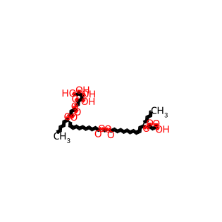 CCCCCC[C@@H](C/C=C\CCCCCCCC(=O)OCOC(=O)CCCCCCC/C=C\C[C@@H](CCCCCC)OC(=O)CC(=O)OCC1OC(O)C(O)C(O)C1O)OC(=O)CC(=O)O